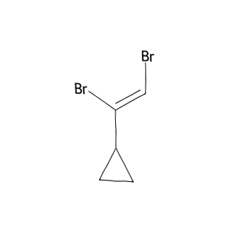 BrC=C(Br)C1CC1